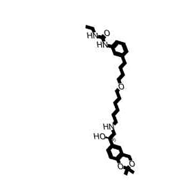 CCNC(=O)Nc1cccc(CCCCOCCCCCCNC[C@H](O)c2ccc3c(c2)COC(C)(C)O3)c1